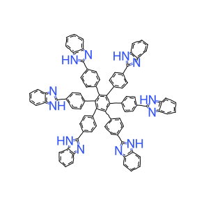 c1ccc2[nH]c(-c3ccc(-c4c(-c5ccc(-c6nc7ccccc7[nH]6)cc5)c(-c5ccc(-c6nc7ccccc7[nH]6)cc5)c(-c5ccc(-c6nc7ccccc7[nH]6)cc5)c(-c5ccc(-c6nc7ccccc7[nH]6)cc5)c4-c4ccc(-c5nc6ccccc6[nH]5)cc4)cc3)nc2c1